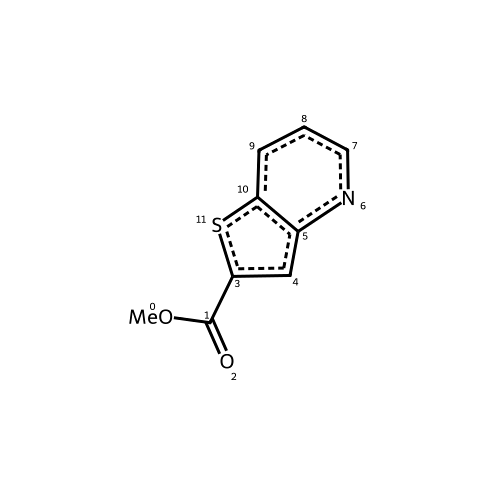 COC(=O)c1cc2ncccc2s1